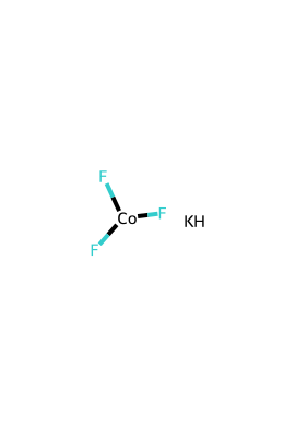 [F][Co]([F])[F].[KH]